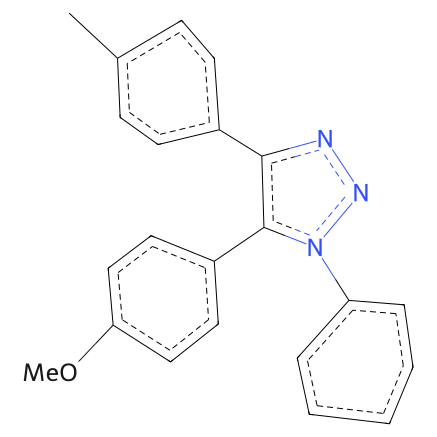 COc1ccc(-c2c(-c3ccc(C)cc3)nnn2-c2ccccc2)cc1